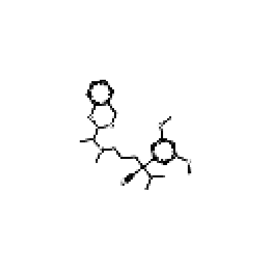 COc1cc(OC)cc(C(C#N)(CCCN(C)C(C)C2OCc3ccccc3O2)C(C)C)c1